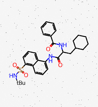 CC(C)(C)NS(=O)(=O)c1cccc2c(NC(=O)C(CC3CCCCC3)NC(=O)c3ccccc3)cccc12